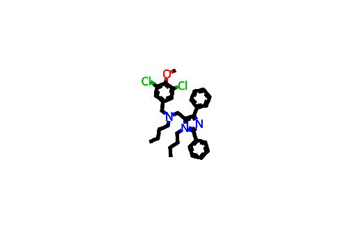 CCCCN(Cc1cc(Cl)c(OC)c(Cl)c1)Cc1c(-c2ccccc2)nc(-c2ccccc2)n1CCCC